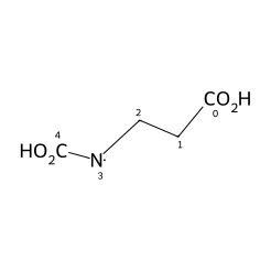 O=C(O)CC[N]C(=O)O